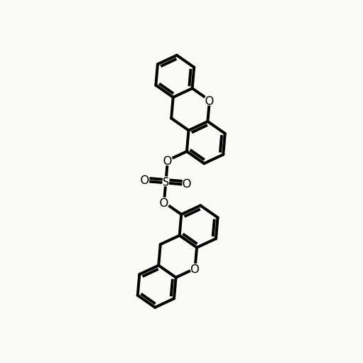 O=S(=O)(Oc1cccc2c1Cc1ccccc1O2)Oc1cccc2c1Cc1ccccc1O2